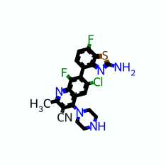 Cc1nc2c(F)c(-c3ccc(F)c4sc(N)nc34)c(Cl)cc2c(N2CCNCC2)c1C#N